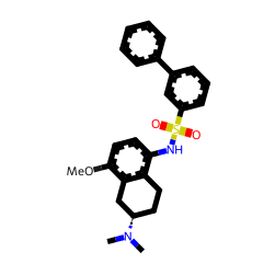 COc1ccc(NS(=O)(=O)c2cccc(-c3ccccc3)c2)c2c1C[C@@H](N(C)C)CC2